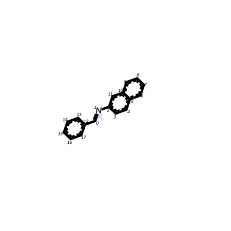 C(=N\c1ccc2ccccc2c1)/c1ccccc1